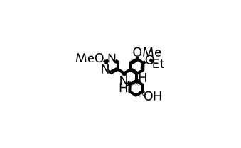 CCOc1cc2c(cc1OC)C(c1cnc(OC)nc1)=N[C@@H]1CC[C@@H](O)C[C@H]21